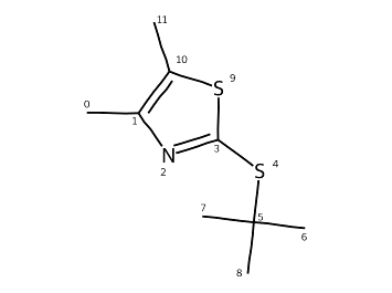 Cc1nc(SC(C)(C)C)sc1C